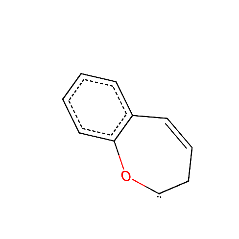 [C]1CC=Cc2ccccc2O1